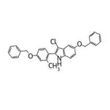 Cc1cc(OCc2ccccc2)ccc1-c1[nH]c2ccc(OCc3ccccc3)cc2c1Cl